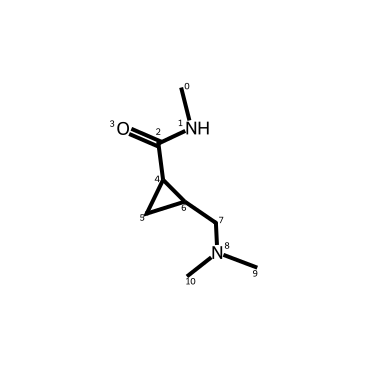 CNC(=O)C1CC1CN(C)C